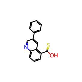 OC(=S)c1cccc2ncc(-c3ccccc3)cc12